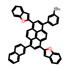 CC(C)(C)c1cccc(-c2cc(-c3cc4ccccc4o3)c3ccc4c(-c5ccc6ccccc6c5)cc(-c5cc6ccccc6o5)c5ccc2c3c45)c1